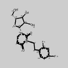 O=c1ccn([C@@H]2O[C@H](CO)C(O)C2O)c(=O)n1CCc1ccc(F)cc1F